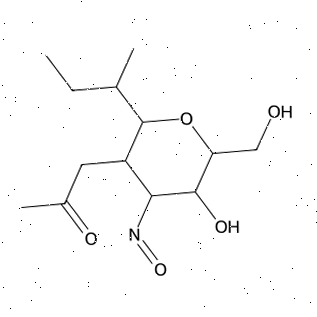 CCC(C)C1OC(CO)C(O)C(N=O)C1CC(C)=O